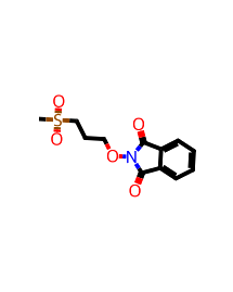 CS(=O)(=O)CCCON1C(=O)c2ccccc2C1=O